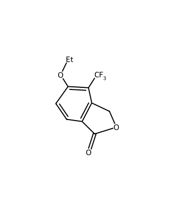 CCOc1ccc2c(c1C(F)(F)F)COC2=O